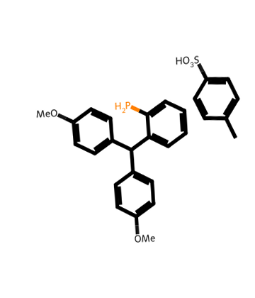 COc1ccc(C(c2ccc(OC)cc2)c2ccccc2P)cc1.Cc1ccc(S(=O)(=O)O)cc1